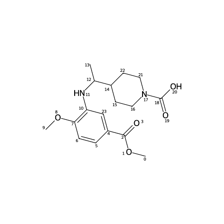 COC(=O)c1ccc(OC)c(NC(C)C2CCN(C(=O)O)CC2)c1